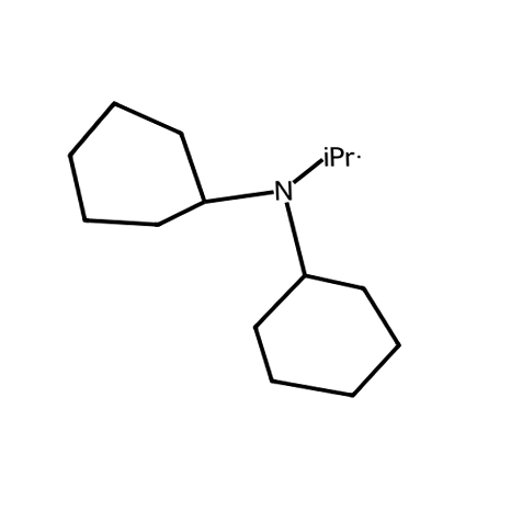 C[C](C)N(C1CCCCC1)C1CCCCC1